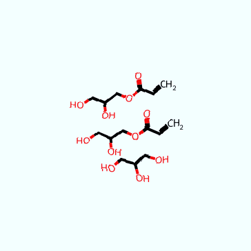 C=CC(=O)OCC(O)CO.C=CC(=O)OCC(O)CO.OCC(O)CO